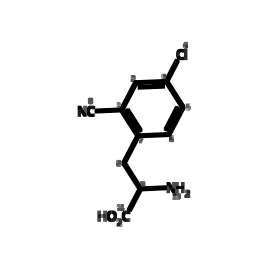 N#Cc1cc(Cl)ccc1CC(N)C(=O)O